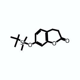 CC(C)(C)[Si](C)(C)Oc1ccc2c(c1)OC(=O)CC2